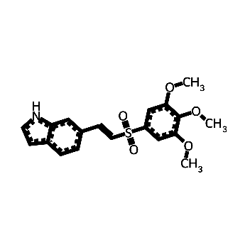 COc1cc(S(=O)(=O)C=Cc2ccc3cc[nH]c3c2)cc(OC)c1OC